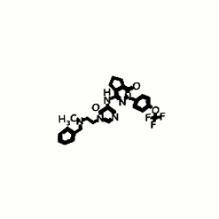 CN(CCn1cncc(Nc2nn(-c3ccc(OC(F)(F)F)cc3)c(=O)c3c2CCC3)c1=O)Cc1ccccc1